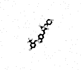 O=C1S/C(=C\c2ccc3c(cnn3Cc3ccc(Cl)cc3C(F)(F)F)c2)C(=O)N1CC1(F)CCNCC1